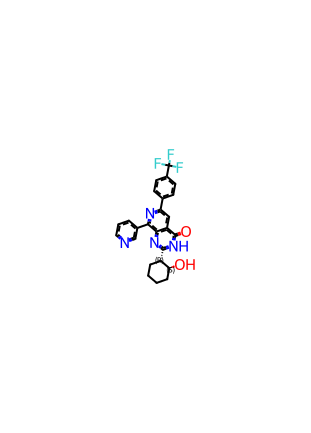 O=c1[nH]c([C@H]2CCCC[C@@H]2O)nc2c(-c3cccnc3)nc(-c3ccc(C(F)(F)F)cc3)cc12